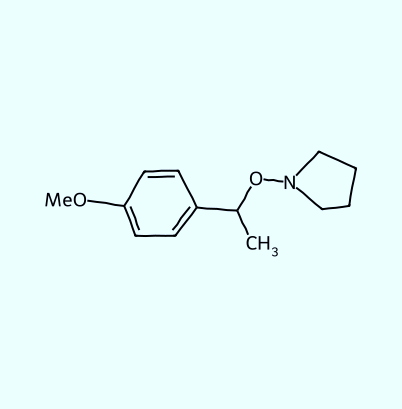 COc1ccc(C(C)ON2CCCC2)cc1